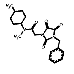 CC1CCC(N(C)C(=O)CN2C(=O)C(=O)N(Cc3ccccc3)C2=O)CC1